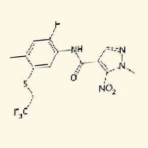 Cc1cc(F)c(NC(=O)c2cnn(C)c2[N+](=O)[O-])cc1SCC(F)(F)F